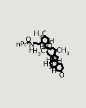 CCCC(=O)NCCC1C[C@@H](C)C[C@H]2O[C@]3(CC[C@@H]4C(=C(C)C3)C[C@H]3[C@H]4CC[C@@H]4CC(=O)CC[C@@]43C)[C@H](C)[C@H]12